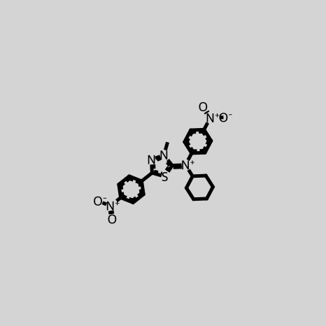 Cn1nc(-c2ccc([N+](=O)[O-])cc2)sc1=[N+](c1ccc([N+](=O)[O-])cc1)C1CCCCC1